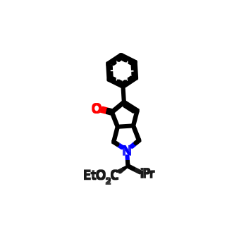 CCOC(=O)[C@H](C(C)C)N1CC2C=C(c3ccccc3)C(=O)C2C1